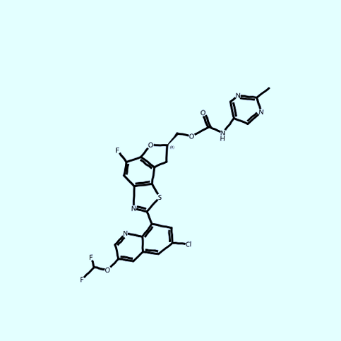 Cc1ncc(NC(=O)OC[C@H]2Cc3c(c(F)cc4nc(-c5cc(Cl)cc6cc(OC(F)F)cnc56)sc34)O2)cn1